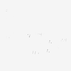 CC1=C(CCN2CCC(C(=O)c3ccc(F)cc3)CC2)C(C=O)N2C[C@@H](O)SC2=N1